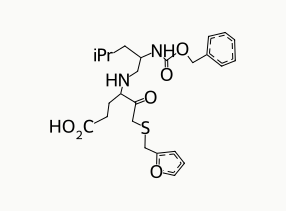 CC(C)CC(CNC(CCC(=O)O)C(=O)CSCc1ccco1)NC(=O)OCc1ccccc1